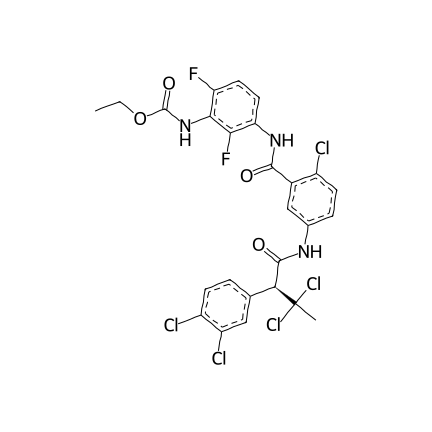 CCOC(=O)Nc1c(F)ccc(NC(=O)c2cc(NC(=O)[C@H](c3ccc(Cl)c(Cl)c3)C(C)(Cl)Cl)ccc2Cl)c1F